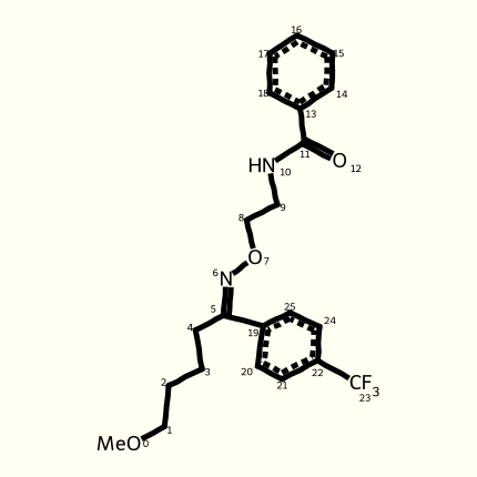 COCCCCC(=NOCCNC(=O)c1ccccc1)c1ccc(C(F)(F)F)cc1